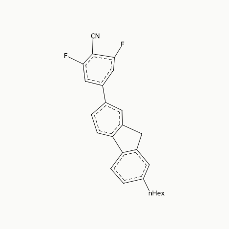 CCCCCCc1ccc2c(c1)Cc1cc(-c3cc(F)c(C#N)c(F)c3)ccc1-2